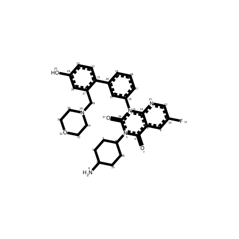 NC1CCC(n2c(=O)c3cc(F)cnc3n(-c3cccc(-c4ccc(O)cc4CN4CCOCC4)c3)c2=O)CC1